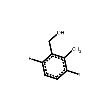 Cc1c(I)ccc(F)c1CO